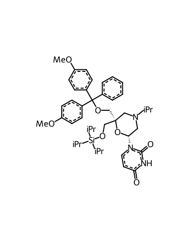 COc1ccc(C(OC[C@]2(CO[Si](C(C)C)(C(C)C)C(C)C)CN(C(C)C)C[C@H](n3ccc(=O)[nH]c3=O)O2)(c2ccccc2)c2ccc(OC)cc2)cc1